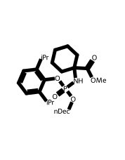 CCCCCCCCCCOP(=O)(NC1(C(=O)OC)CCCCC1)Oc1c(C(C)C)cccc1C(C)C